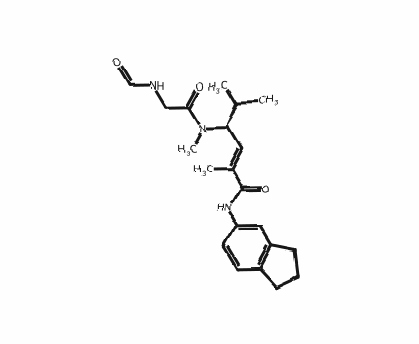 C/C(=C\[C@H](C(C)C)N(C)C(=O)CNC=O)C(=O)Nc1ccc2c(c1)CCC2